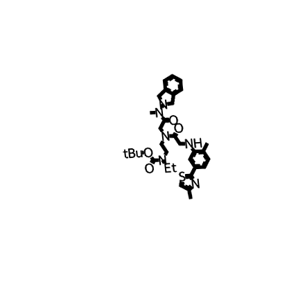 CCN(CCN(CC(=O)N(C)N1Cc2ccccc2C1)C(=O)CNc1cc(-c2nc(C)cs2)ccc1C)C(=O)OC(C)(C)C